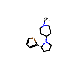 CN1CCC(N2CCC[C@@H]2c2cccs2)CC1